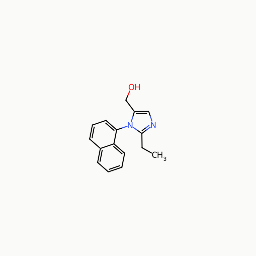 CCc1ncc(CO)n1-c1cccc2ccccc12